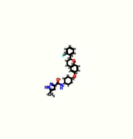 Cc1cc(C(=O)N[C@H]2CC[C@H](Oc3ccc4c(c3)CCC(c3ccccc3F)O4)CC2)n[nH]1